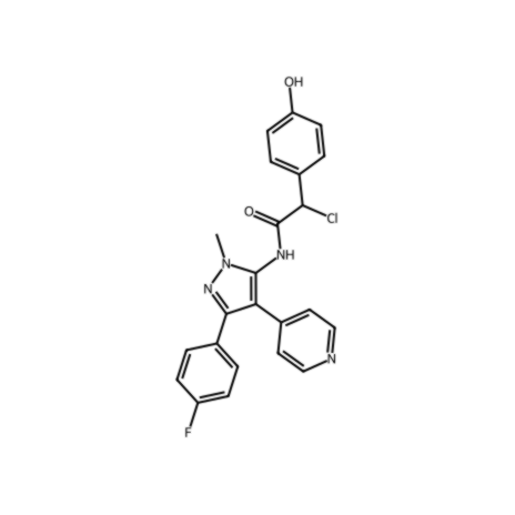 Cn1nc(-c2ccc(F)cc2)c(-c2ccncc2)c1NC(=O)C(Cl)c1ccc(O)cc1